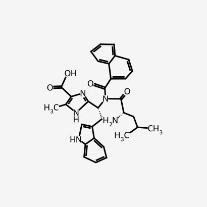 Cc1[nH]c([C@@H](Cc2c[nH]c3ccccc23)N(C(=O)c2cccc3ccccc23)C(=O)[C@@H](N)CC(C)C)nc1C(=O)O